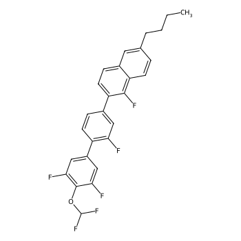 CCCCc1ccc2c(F)c(-c3ccc(-c4cc(F)c(OC(F)F)c(F)c4)c(F)c3)ccc2c1